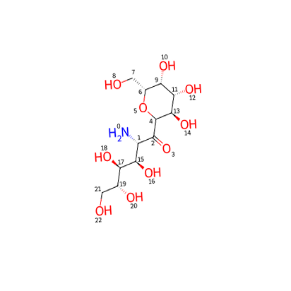 N[C@H](C(=O)C1O[C@H](CO)[C@H](O)[C@H](O)[C@H]1O)[C@@H](O)[C@H](O)[C@H](O)CO